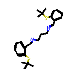 CC(C)(C)Sc1ccccc1C=NCCCN=Cc1ccccc1SC(C)(C)C